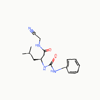 CC(C)C[C@H](NC(=O)Nc1ccccc1)C(=O)NCC#N